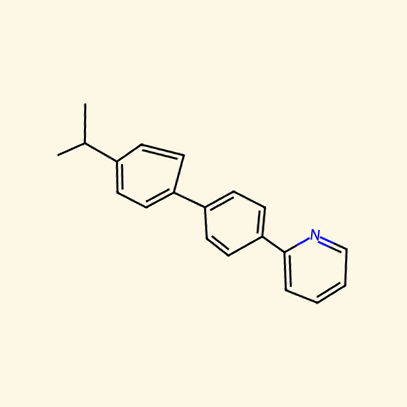 CC(C)c1ccc(-c2ccc(-c3ccccn3)cc2)cc1